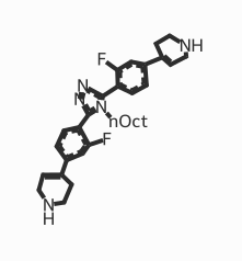 CCCCCCCCn1c(-c2ccc(C3=CCNCC3)cc2F)nnc1-c1ccc(C2=CCNCC2)cc1F